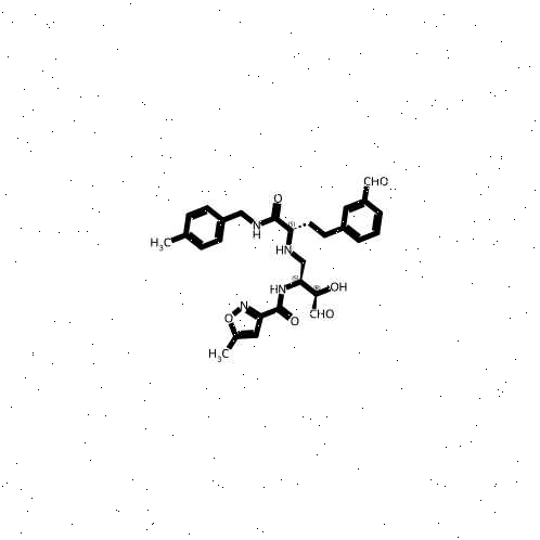 Cc1ccc(CNC(=O)[C@H](CCc2cccc(C=O)c2)NC[C@H](NC(=O)c2cc(C)on2)[C@@H](O)C=O)cc1